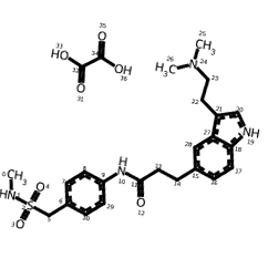 CNS(=O)(=O)Cc1ccc(NC(=O)CCc2ccc3[nH]cc(CCN(C)C)c3c2)cc1.O=C(O)C(=O)O